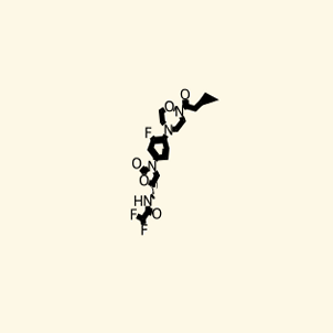 O=C(NC[C@H]1CN(c2ccc(N3CCON(C(=O)CC4CC4)CC3)c(F)c2)C(=O)O1)C(F)F